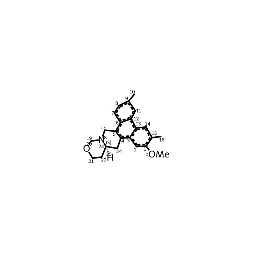 COc1cc2c3c(c4ccc(C)cc4c2cc1C)CN1COCC[C@@H]1C3